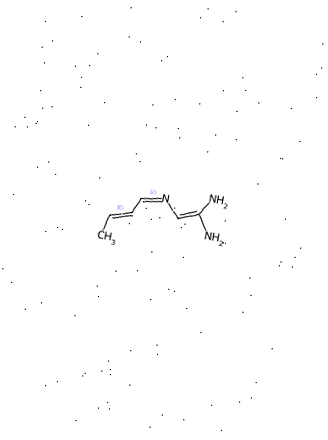 C/C=C/C=N\C=C(N)N